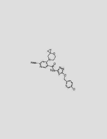 N#Cc1cc(N2CCOC3(CC3)C2)c(C(=O)Nc2nnc(OCc3ccc(Cl)cc3)s2)cn1